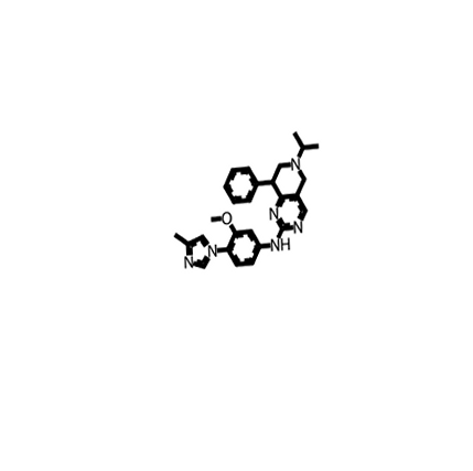 COc1cc(Nc2ncc3c(n2)C(c2ccccc2)CN(C(C)C)C3)ccc1-n1cnc(C)c1